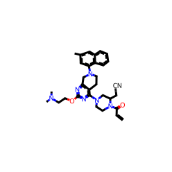 C=CC(=O)N1CCN(c2nc(OCCN(C)C)nc3c2CCN(c2cc(C)cc4ccccc24)C3)CC1CC#N